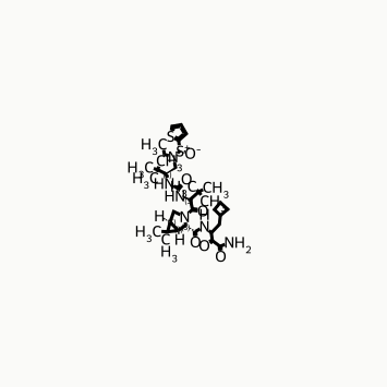 CCN(C[C@@H](NC(=O)N[C@H](C(=O)N1C[C@H]2[C@@H]([C@H]1C(=O)NC(CC1CCC1)C(=O)C(N)=O)C2(C)C)C(C)(C)C)C(C)(C)C)[S+]([O-])c1cccs1